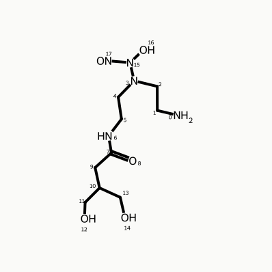 NCCN(CCNC(=O)CC(CO)CO)N(O)N=O